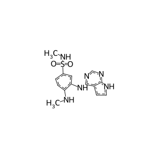 CNc1ccc(S(=O)(=O)NC)cc1Nc1ncnc2[nH]ccc12